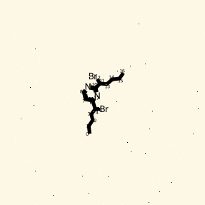 CCCCC(Br)c1ccnc(C(Br)CCCC)n1